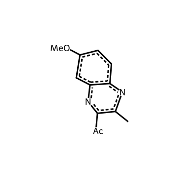 COc1ccc2nc(C)c(C(C)=O)nc2c1